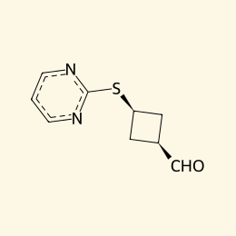 O=C[C@H]1C[C@@H](Sc2ncccn2)C1